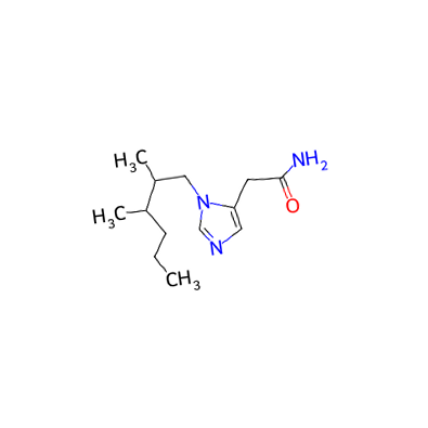 CCCC(C)C(C)Cn1cncc1CC(N)=O